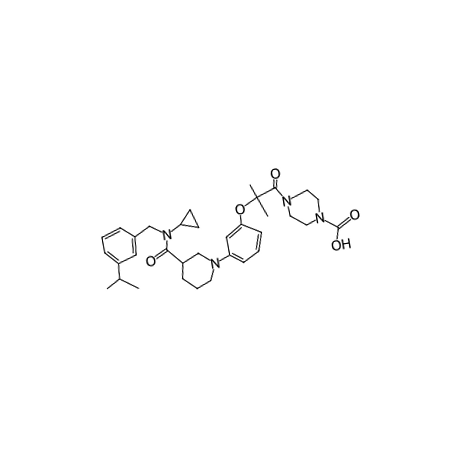 CC(C)c1cccc(CN(C(=O)C2CCCN(c3cccc(OC(C)(C)C(=O)N4CCN(C(=O)O)CC4)c3)C2)C2CC2)c1